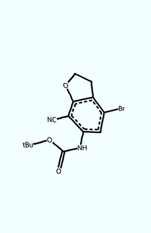 CC(C)(C)OC(=O)Nc1cc(Br)c2c(c1C#N)OCC2